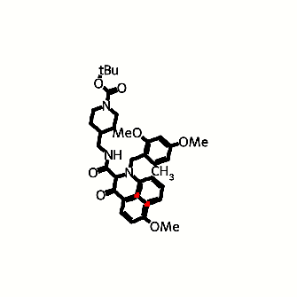 COc1ccc(C(=O)C(C(=O)NCC2CCN(C(=O)OC(C)(C)C)CC2)N(Cc2ccc(OC)cc2OC)c2ccccc2C)cc1